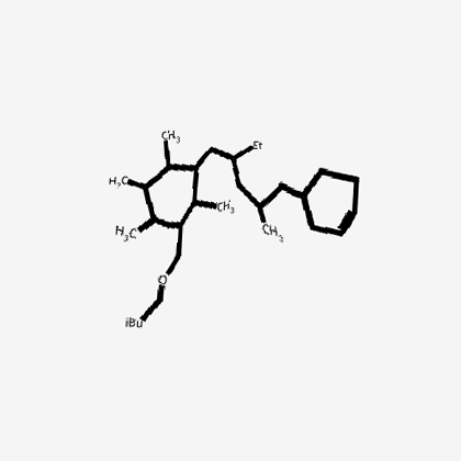 CCC(C)COCC1C(C)C(C)C(C)C(CC(CC)CC(C)CC2CC=CCC2)C1C